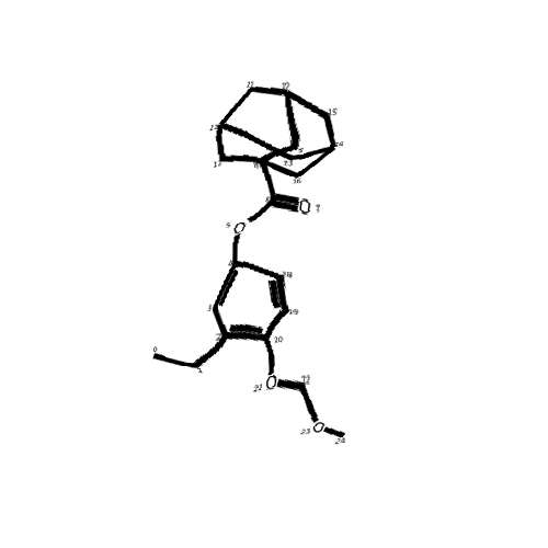 CCc1cc(OC(=O)C23CC4CC(CC(C4)C2)C3)ccc1OCOC